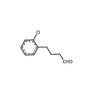 O=[C]CCCc1ccccc1Cl